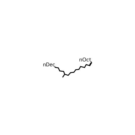 CCCCCCCC/C=C\CCCCCCCCC(C)CCCCCCCCCCCCCC